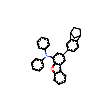 c1ccc(N(c2ccccc2)c2cc(-c3ccc4c(c3)C3CCC4C3)cc3c2oc2ccccc23)cc1